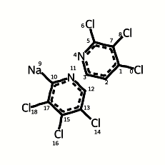 Clc1ccnc(Cl)c1Cl.[Na][c]1ncc(Cl)c(Cl)c1Cl